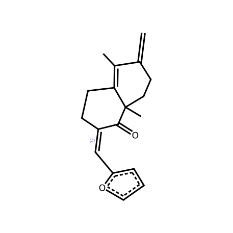 C=C1CCC2(C)C(=O)/C(=C\c3ccco3)CCC2=C1C